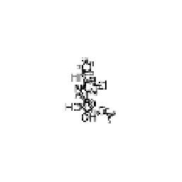 O[C@@H]1[C@H](O)[C@@H](COC2CC2)O[C@H]1n1cnc2c(NC3CCCC3)nc(Cl)nc21